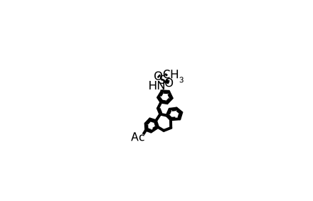 CC(=O)c1ccc2c(c1)CCc1ccccc1/C2=C\c1cccc(NS(C)(=O)=O)c1